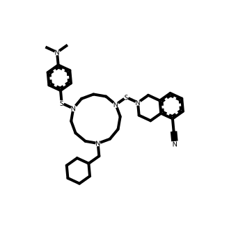 CN(C)c1ccc(SN2CCCN(CC3CCCCC3)CCCN(SN3CCc4c(C#N)cccc4C3)CCC2)cc1